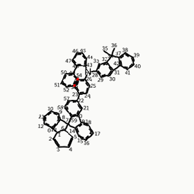 CC1C=CC=CC1C1(c2ccccc2)c2ccccc2-c2cc(-c3ccc(N(c4ccc5c(c4)C(C)(C)c4ccccc4-5)c4ccccc4-c4ccccc4)cc3)ccc21